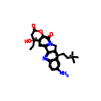 CC[C@@]1(O)CC(=O)Oc2c1cc1n(c2=O)Cc2c-1nc1ccc(N)cc1c2CC[Si](C)(C)C